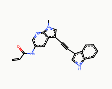 C=CC(=O)Nc1cnc2c(c1)c(C#Cc1c[nH]c3ccccc13)cn2C